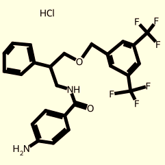 Cl.Nc1ccc(C(=O)NCC(COCc2cc(C(F)(F)F)cc(C(F)(F)F)c2)c2ccccc2)cc1